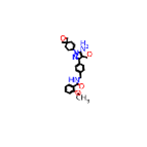 COc1ccccc1C(=O)NCc1ccc(-c2nn(C3CCC4(CC3)COC4)c(N)c2C=O)cc1